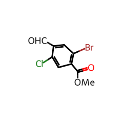 COC(=O)c1cc(Cl)c(C=O)cc1Br